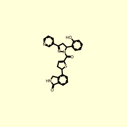 O=C1NCc2c1cccc2C1CC=C(C(=O)N2N=C(c3cccnc3)CC2c2ccccc2O)S1